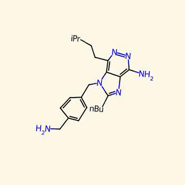 CCCCc1nc2c(N)nnc(CCC(C)C)c2n1Cc1ccc(CN)cc1